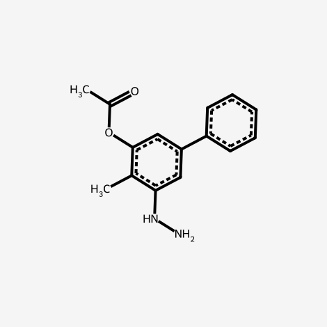 CC(=O)Oc1cc(-c2ccccc2)cc(NN)c1C